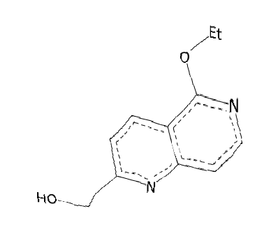 CCOc1nccc2nc(CO)ccc12